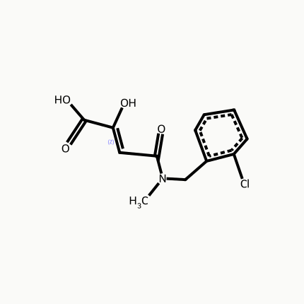 CN(Cc1ccccc1Cl)C(=O)/C=C(\O)C(=O)O